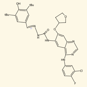 CC(C)(C)c1cc(/C=N/NC(=O)Nc2cc3c(Nc4ccc(F)c(Cl)c4)ncnc3cc2OC2CCOC2)cc(C(C)(C)C)c1O